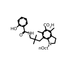 CCCCCCCCN1CCc2c(C)c(C(=O)O)c(C)c(CC(C)(C)CNC(=O)c3ccccc3O)c21